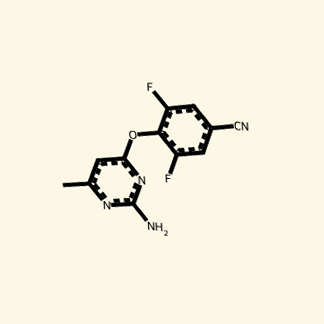 Cc1cc(Oc2c(F)cc(C#N)cc2F)nc(N)n1